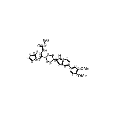 COc1ccc(-c2ccc3[nH]c(C4CCN(C(=O)[C@H](Cc5cccs5)NC(=O)OC(C)(C)C)CC4)cc3c2)cc1OC